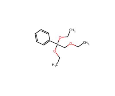 CCOC[Si](OCC)(OCC)c1ccccc1